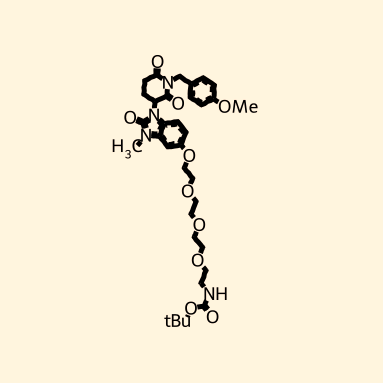 COc1ccc(CN2C(=O)CCC(n3c(=O)n(C)c4cc(OCCOCCOCCOCCNC(=O)OC(C)(C)C)ccc43)C2=O)cc1